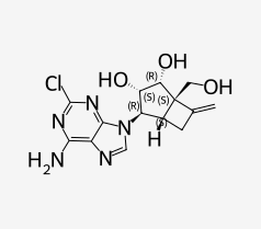 C=C1C[C@@H]2[C@@H](n3cnc4c(N)nc(Cl)nc43)[C@H](O)[C@H](O)[C@]12CO